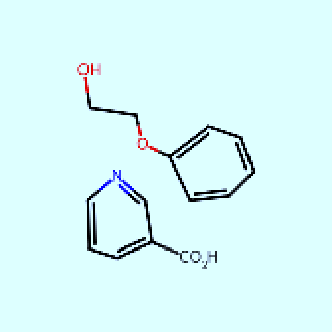 O=C(O)c1cccnc1.OCCOc1ccccc1